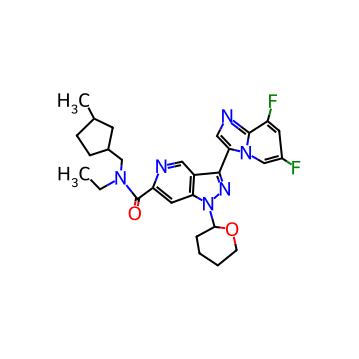 CCN(CC1CCC(C)C1)C(=O)c1cc2c(cn1)c(-c1cnc3c(F)cc(F)cn13)nn2C1CCCCO1